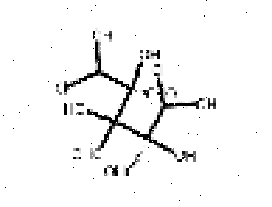 O=CC(O)([C@@](O)(C=O)C(O)Cl)[C@@](O)(C=O)C(O)Cl